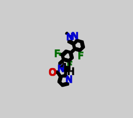 [2H]C1([2H])c2ncccc2C(=O)N1Cc1c(F)cc(-c2c(F)ccc3nn(C)cc23)cc1F